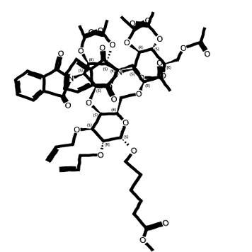 C=CCO[C@H]1[C@@H](O[C@@H]2O[C@H](COC(C)=O)[C@@H](OC(C)=O)[C@H](OC(C)=O)[C@@H]2N2C(=O)c3ccccc3C2=O)[C@@H](CO[C@@H]2O[C@H](COC(C)=O)[C@@H](OC(C)=O)[C@H](OC(C)=O)[C@@H]2N2C(=O)c3ccccc3C2=O)O[C@H](OCCCCCC(=O)OC)[C@@H]1OCC=C